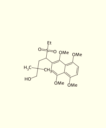 CCS(=O)(=O)C(CC(C)(C)CO)c1cc(OC)c2c(OC)ccc(OC)c2c1OC